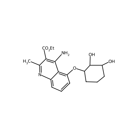 CCOC(=O)c1c(C)nc2cccc(OC3CCCC(O)C3O)c2c1N